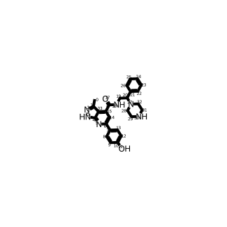 Cc1n[nH]c2nc(-c3ccc(O)cc3)cc(C(=O)NCC(c3ccccc3)N3CCNCC3)c12